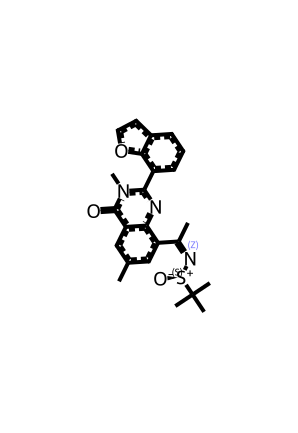 C/C(=N/[S@+]([O-])C(C)(C)C)c1cc(C)cc2c(=O)n(C)c(-c3cccc4ccoc34)nc12